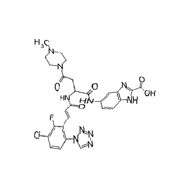 CN1CCN(C(=O)CC(NC(=O)C=Cc2c(-n3cnnn3)ccc(Cl)c2F)C(=O)Nc2ccc3[nH]c(C(=O)O)nc3c2)CC1